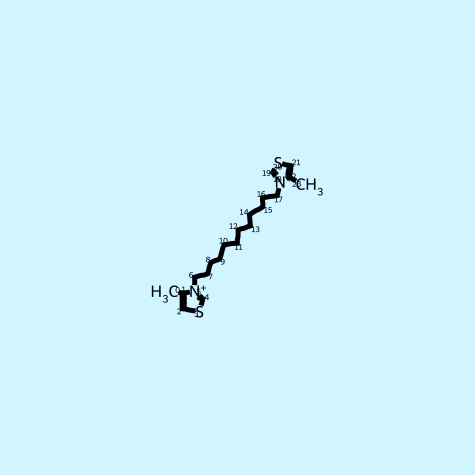 Cc1csc[n+]1CCCCCCCCCCCC[n+]1cscc1C